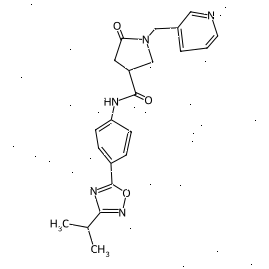 CC(C)c1noc(-c2ccc(NC(=O)C3CC(=O)N(Cc4cccnc4)C3)cc2)n1